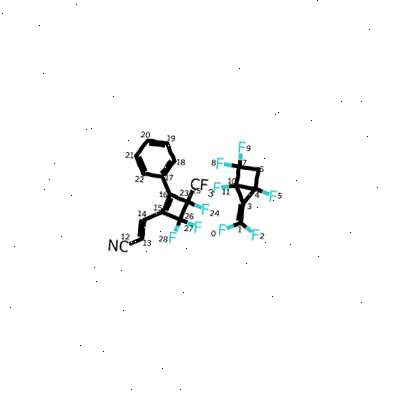 FC(F)=C1C2(F)CC(F)(F)C12F.N#CC=CC1=C(c2ccccc2)C(F)(C(F)(F)F)C1(F)F